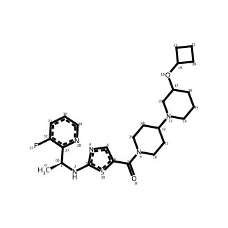 C[C@H](Nc1ncc(C(=O)N2CCC(N3CCCC(OC4CCC4)C3)CC2)s1)c1ncccc1F